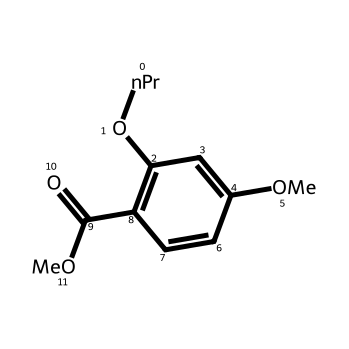 CCCOc1cc(OC)ccc1C(=O)OC